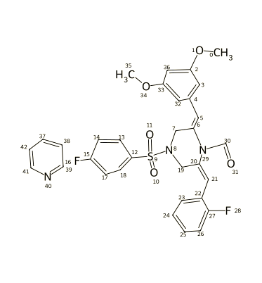 COc1cc(C=C2CN(S(=O)(=O)c3ccc(F)cc3)CC(=Cc3ccccc3F)N2C=O)cc(OC)c1.c1ccncc1